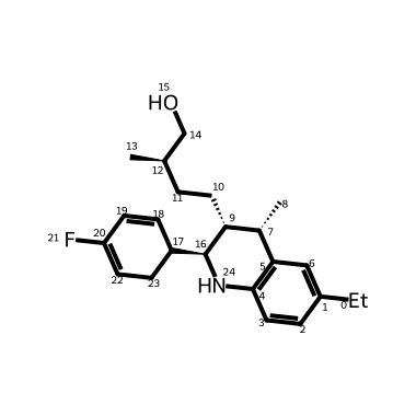 CCc1ccc2c(c1)[C@@H](C)[C@@H](CC[C@@H](C)CO)[C@H](C1C=CC(F)=CC1)N2